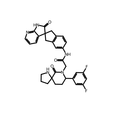 O=C(CN1C(=O)C2(CCCN2)CCC1c1cc(F)cc(F)c1)Nc1ccc2c(c1)CC1(C2)C(=O)Nc2ncccc21